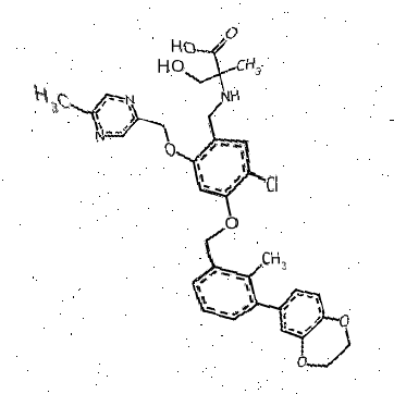 Cc1cnc(COc2cc(OCc3cccc(-c4ccc5c(c4)OCCO5)c3C)c(Cl)cc2CNC(C)(CO)C(=O)O)cn1